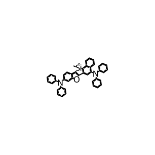 C[Si]1(C)c2c(oc3cc(N(c4ccccc4)c4ccccc4)ccc23)-c2cc(N(c3ccccc3)c3ccccc3)c3ccccc3c21